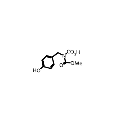 COC(=O)N(Cc1ccc(O)cc1)C(=O)O